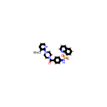 COc1cccnc1N1CCN(C(=O)c2ccc(NS(=O)(=O)c3cccc4cccnc34)cc2)CC1